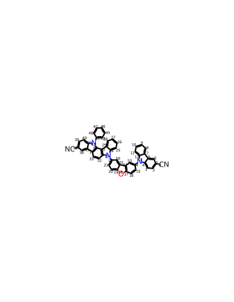 N#Cc1ccc2c(c1)c1ccccc1n2-c1ccc2oc3ccc(-n4c5ccccc5c5c4ccc4c6cc(C#N)ccc6n(-c6ccccc6)c45)cc3c2c1